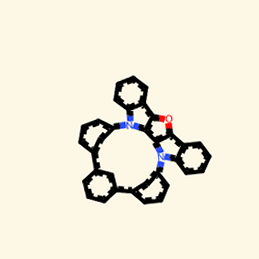 c1cc2cc(c1)c1cccc(c1)n1c3ccccc3c3oc4c5ccccc5n(c5cccc2c5)c4c31